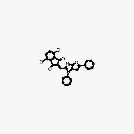 O=C1C(=Cc2nc3oc(-c4ccccc4)cc3n2-c2ccccc2)C(=O)c2c(Cl)ccc(Cl)c21